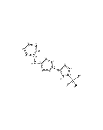 FC(F)(F)c1ccn(-c2ccc(Oc3ccccc3)cc2)n1